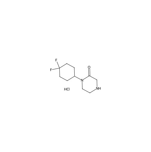 Cl.O=C1CNCCN1C1CCC(F)(F)CC1